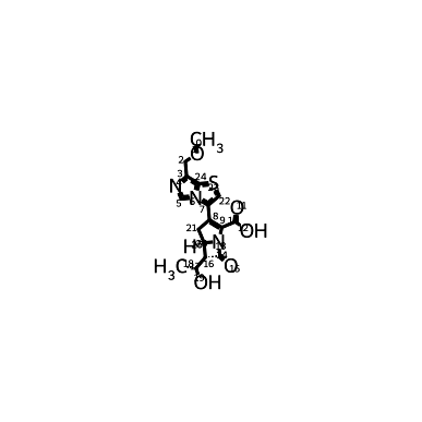 COCc1ncn2c(C3=C(C(=O)O)N4C(=O)[C@H]([C@@H](C)O)[C@H]4C3)csc12